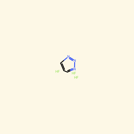 F.F.F.c1cnnnc1